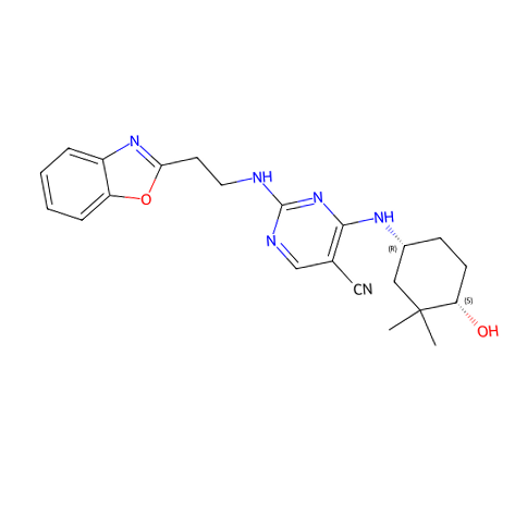 CC1(C)C[C@H](Nc2nc(NCCc3nc4ccccc4o3)ncc2C#N)CC[C@@H]1O